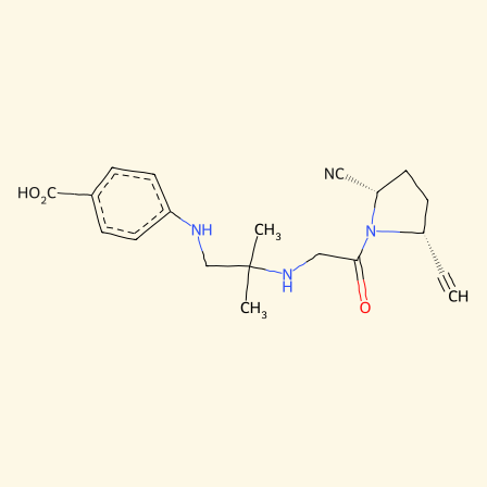 C#C[C@H]1CC[C@@H](C#N)N1C(=O)CNC(C)(C)CNc1ccc(C(=O)O)cc1